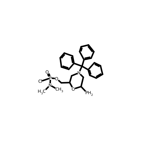 CN(C)P(=O)(Cl)OCC1CN(C(c2ccccc2)(c2ccccc2)c2ccccc2)CC(P)O1